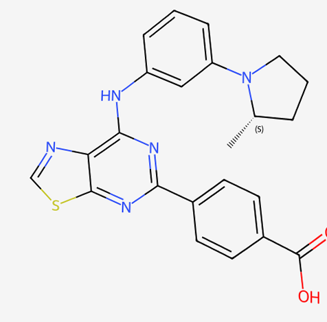 C[C@H]1CCCN1c1cccc(Nc2nc(-c3ccc(C(=O)O)cc3)nc3scnc23)c1